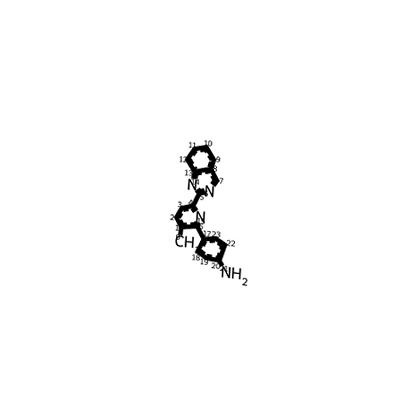 Cc1ccc(-c2ncc3ccccc3n2)nc1-c1ccc(N)cc1